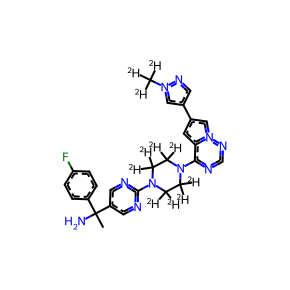 [2H]C([2H])([2H])n1cc(-c2cc3c(N4C([2H])([2H])C([2H])([2H])N(c5ncc(C(C)(N)c6ccc(F)cc6)cn5)C([2H])([2H])C4([2H])[2H])ncnn3c2)cn1